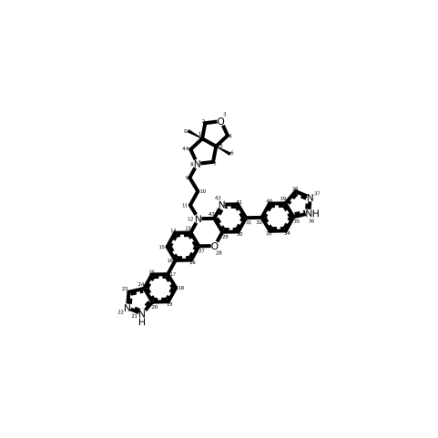 C[C@@]12COC[C@]1(C)CN(CCCN1c3ccc(-c4ccc5[nH]ncc5c4)cc3Oc3cc(-c4ccc5[nH]ncc5c4)cnc31)C2